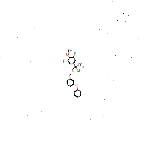 CCOc1c(F)cc([C@](Cl)(COCc2cccc(Oc3ccccc3)c2)C(F)(F)F)cc1F